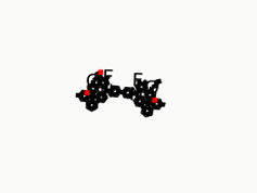 C=CCOc1ccc(C2(c3ccc(C)cc3)c3ccccc3-c3ccc(N(c4ccc(-c5ccc(N(c6ccc(C)c(F)c6)c6ccc7c(c6)C(c6ccc(C)cc6)(c6ccc(OCC=C)cc6)c6ccccc6-7)cc5)cc4)c4ccc(C)c(F)c4)cc32)cc1